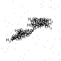 CO[C@@H]1C(CO)O[C@H](O[C@@H]2C(C(=O)O)O[C@@H](O[C@@H]3C(CO)O[C@H](O[C@@H]4C(C(=O)O)O[C@@H](OCCNCc5ccc(C(=O)NCC(=O)N[C@H]6C([C@H](O)[C@H](O)CO)O[C@](OP(=O)(O)OC[C@H]7O[C@@H](n8ccc(N)nc8=O)[C@@H](O)C7O)(C(=O)O)C[C@H]6O)cc5)[C@@H](O)C4O)C(NC(C)=O)[C@H]3O)[C@@H](O)C2O)C(NC(C)=O)[C@H]1O